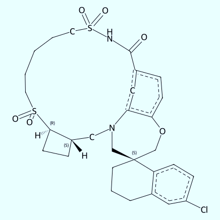 O=C1NS(=O)(=O)CCCCCS(=O)(=O)[C@@H]2CC[C@H]2CN2C[C@@]3(CCCc4cc(Cl)ccc43)COc3ccc1cc32